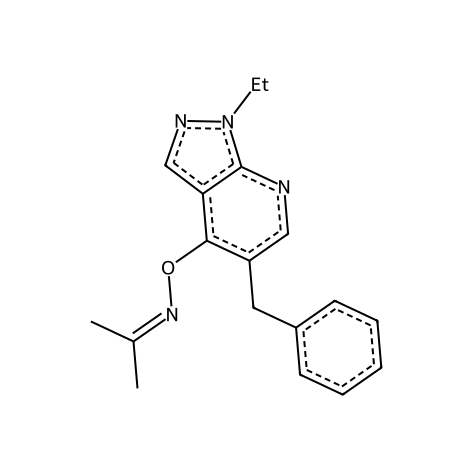 CCn1ncc2c(ON=C(C)C)c(Cc3ccccc3)cnc21